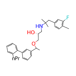 CCCc1ccccc1-c1cccc(C(C)OC[C@H](O)CNC(C)(C)Cc2ccc(C)c(F)c2)c1